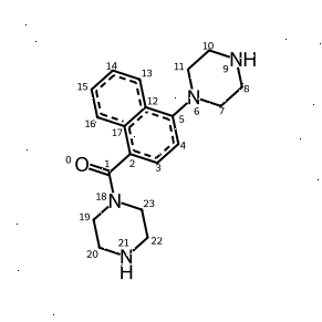 O=C(c1ccc(N2CCNCC2)c2ccccc12)N1CCNCC1